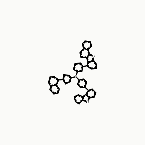 c1cc(-c2cccc3oc4c5ccccc5ccc4c23)cc(N(c2ccc(-c3cccc4ccccc34)cc2)c2ccc(-c3cccc4oc5ccccc5c34)cc2)c1